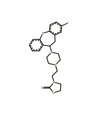 O=C1OCCN1CCN1CCN(C2Cc3cc(F)ccc3Sc3ccccc32)CC1